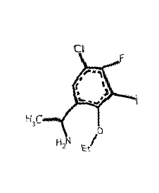 CCOc1c(C(C)N)cc(Cl)c(F)c1I